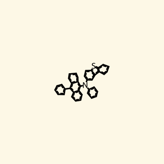 c1ccc(-c2c3ccccc3c(N(c3ccccc3)c3ccc4sc5ccccc5c4c3)c3ccccc23)cc1